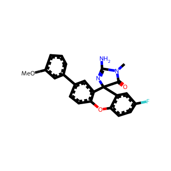 COc1cccc(-c2ccc3c(c2)C2(N=C(N)N(C)C2=O)c2cc(F)ccc2O3)c1